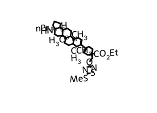 CCCN[C@]12CCCC1[C@H]1CCC3[C@@](C)(CCC4C(C)(C)C(C5=CCC(COc6nsc(SC)n6)(C(=O)OCC)CC5)=CC[C@@]43C)C1CC2